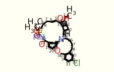 CCC[C@]1(O)/C=C/C[C@H](C)[C@@H](C)S(=O)(=O)NC(=O)c2ccc3c(c2)N(CCCCc2cc(Cl)ccc2CO3)C[C@@H]2CC[C@H]21